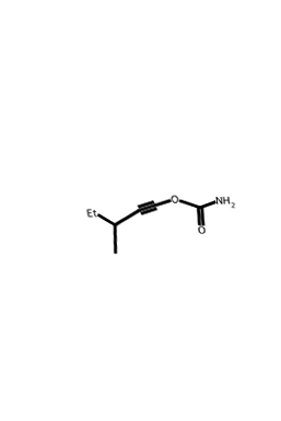 CCC(C)C#COC(N)=O